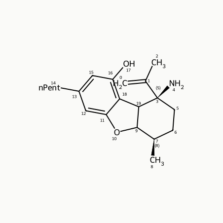 C=C(C)[C@]1(N)CC[C@@H](C)C2Oc3cc(CCCCC)cc(O)c3C21